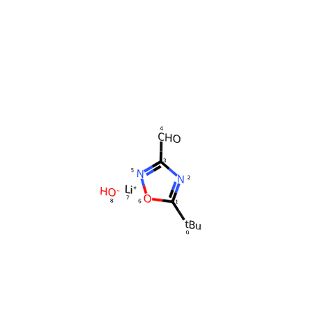 CC(C)(C)c1nc(C=O)no1.[Li+].[OH-]